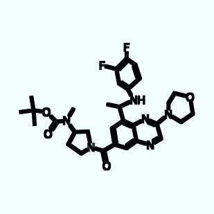 CC(Nc1ccc(F)c(F)c1)c1cc(C(=O)N2CCC(N(C)C(=O)OC(C)(C)C)C2)cc2ncc(N3CCOCC3)nc12